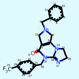 O=C1C2=C(CN(Cc3ccccc3)C2)N2CCN=C2N1Cc1ccc(C(F)(F)F)cc1